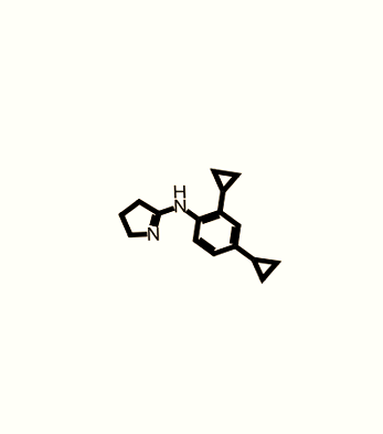 c1cc(NC2=NCCC2)c(C2CC2)cc1C1CC1